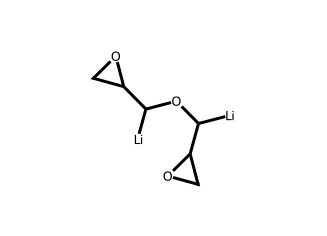 [Li][CH](O[CH]([Li])C1CO1)C1CO1